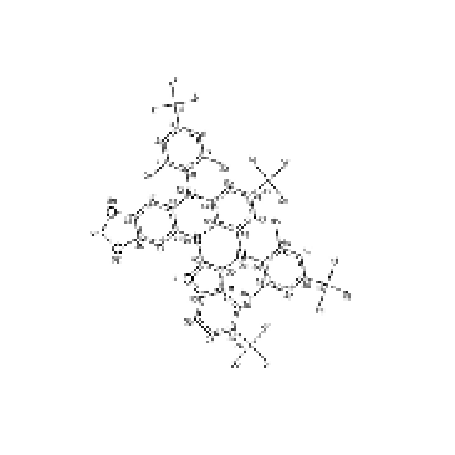 Cc1cc(C(C)(C)C)cc(C)c1N1c2cc3c(cc2B2c4oc5ccc(C(C)(C)C)cc5c4N(c4c(C)cc(C(C)(C)C)cc4C)c4cc(C(C)(C)C)cc1c42)OCO3